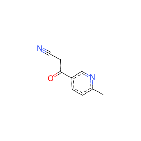 Cc1ccc(C(=O)CC#N)cn1